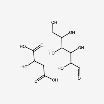 O=C(O)CC(O)C(=O)O.O=CC(O)C(O)C(O)C(O)CO